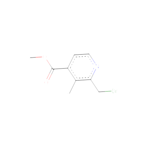 COC(=O)c1ccnc(CBr)c1C